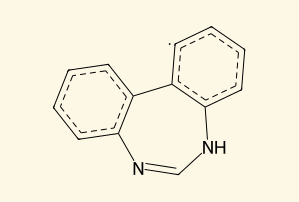 [c]1cccc2c1-c1ccccc1N=CN2